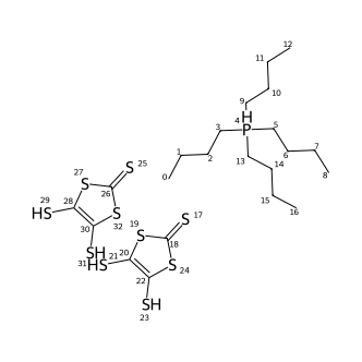 CCCC[PH](CCCC)(CCCC)CCCC.S=c1sc(S)c(S)s1.S=c1sc(S)c(S)s1